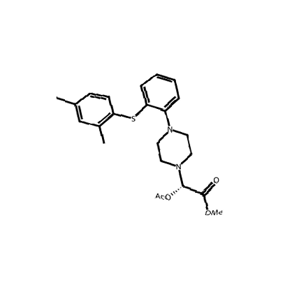 COC(=O)[C@H](OC(C)=O)N1CCN(c2ccccc2Sc2ccc(C)cc2C)CC1